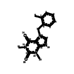 Cc1ccccc1Cn1cnc2c1c(=O)n(C)c(=O)n2C